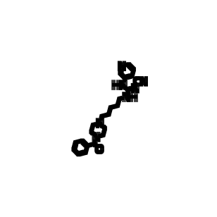 N#CN=C(NCCCCCN1CCN(C(=O)c2ccccc2)CC1)Nc1cccnc1